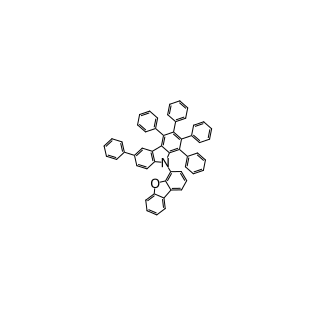 c1ccc(-c2ccc3c(c2)c2c(-c4ccccc4)c(-c4ccccc4)c(-c4ccccc4)c(-c4ccccc4)c2n3-c2cccc3c2oc2ccccc23)cc1